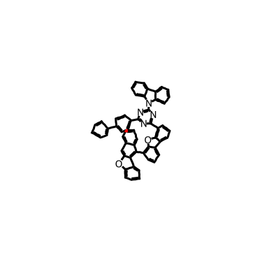 c1ccc(-c2ccc(-c3nc(-c4cccc5c4oc4c(-c6c7ccccc7cc7oc8ccccc8c67)cccc45)nc(-n4c5ccccc5c5ccccc54)n3)cc2)cc1